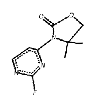 CC1(C)COC(=O)N1c1ccnc(F)n1